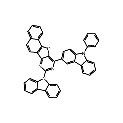 c1ccc(-n2c3ccccc3c3cc(-c4nc(-n5c6ccccc6c6ccccc65)nc5c4oc4c6ccccc6ccc54)ccc32)cc1